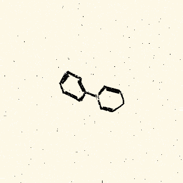 C1=CN(c2ccccc2)C=CC1